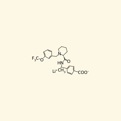 CC(NC(=O)[C@@H]1CCCCN1Cc1cccc(OC(F)(F)F)c1)c1ccc(C(=O)[O-])cc1.[Li+]